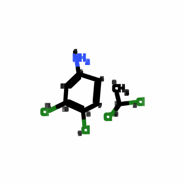 CC(Cl)Cl.Nc1ccc(Cl)c(Cl)c1